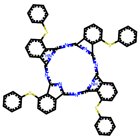 c1ccc(Sc2cccc3c2-c2nc-3nc3[nH]c(nc4nc(nc5[nH]c(n2)c2cccc(Sc6ccccc6)c52)-c2cccc(Sc5ccccc5)c2-4)c2cccc(Sc4ccccc4)c32)cc1